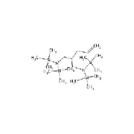 C=CCC(CN([Si](C)(C)C)[Si](C)(C)C)CN([Si](C)(C)C)[Si](C)(C)C